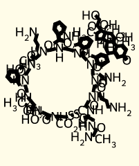 CC(O)[C@@H]1NC(=O)[C@H](Cc2ccccc2)NC(=O)[C@H](C(C)O)NC(=O)[C@H](CCCCN)NC(=O)[C@H](Cc2c[nH]c3ccccc23)NC(=O)[C@H](Cc2ccccc2)NC(=O)[C@H](Cc2ccccc2)NC(=O)[C@H](CC(N)=O)NC(=O)[C@H](CCCCN)NC(=O)[C@@H](NC(=O)CNC(=O)[C@H](C)N)CSSC[C@@H](C(=O)O)NC(=O)[C@H](CO)NC1=O.C[C@@H]1C[C@H]2[C@@H]3CCC4=CC(=O)C=C[C@]4(C)[C@@]3(F)[C@@H](O)C[C@]2(C)[C@@]1(O)C(=O)CO